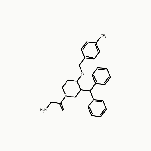 NCC(=O)N1CCC(OCc2ccc(C(F)(F)F)cc2)C(C(c2ccccc2)c2ccccc2)C1